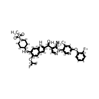 Cc1cc(Oc2ccccc2F)ncc1-n1ncc(C(=O)c2cc3cc(OC(F)F)c(NC4CCN(S(C)(=O)=O)CC4)cc3[nH]2)c1N